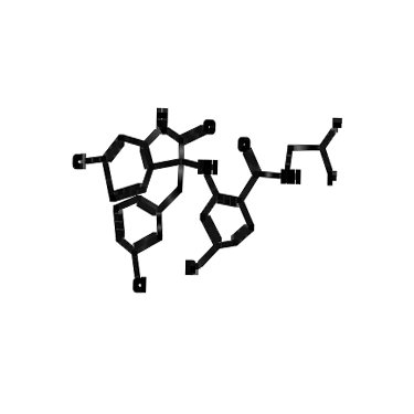 O=C(NCC(F)F)c1ccc(Br)cc1NC1(Cc2cccc(Cl)c2)C(=O)Nc2cc(Cl)ccc21